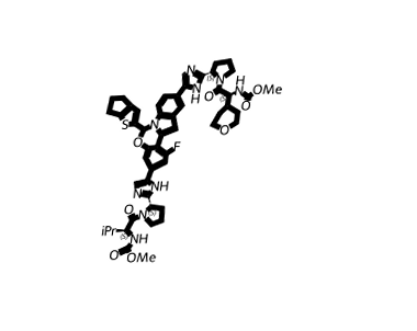 COC(=O)N[C@H](C(=O)N1CCC[C@H]1c1ncc(-c2cc(F)c3c(c2)OC(c2cc4c(s2)CCC4)n2c-3cc3cc(-c4cnc([C@@H]5CCCN5C(=O)[C@@H](NC(=O)OC)C5CCOCC5)[nH]4)ccc32)[nH]1)C(C)C